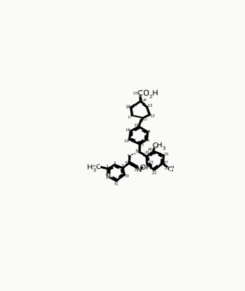 Cc1cc(/C(C[C@H](c2ccc(C3CCC(C(=O)O)CC3)cc2)c2ccc(Cl)cc2C)=N/O)ccn1